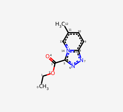 CCOC(=O)c1nnc2ccc(C)cn12